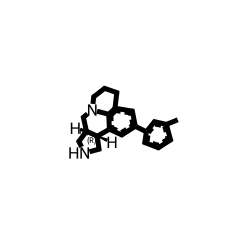 Cc1cccc(-c2cc3c4c(c2)[C@@H]2CNC[C@@H]2CN4CCC3)c1